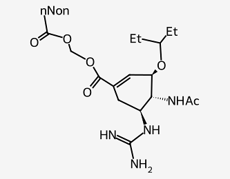 CCCCCCCCCC(=O)OCOC(=O)C1=C[C@@H](OC(CC)CC)[C@H](NC(C)=O)[C@@H](NC(=N)N)C1